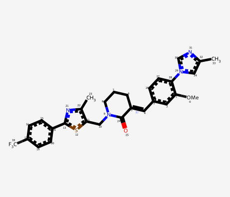 COc1cc(/C=C2\CCCN(Cc3sc(-c4ccc(C(F)(F)F)cc4)nc3C)C2=O)ccc1-n1cnc(C)c1